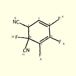 N#CC1C=C(F)C(F)=C(F)C1(F)C#N